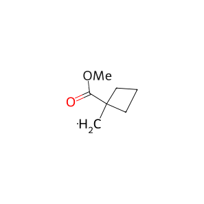 [CH2]C1(C(=O)OC)CCC1